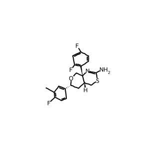 Cc1cc([C@H]2C[C@H]3CSC(N)=N[C@@]3(c3ccc(F)cc3F)CO2)ccc1F